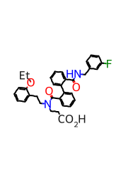 CCOc1ccccc1CCN(CCC(=O)O)C(=O)c1ccccc1-c1ccccc1C(=O)NCc1cccc(F)c1